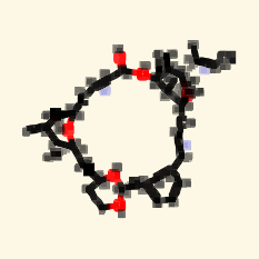 C=C1C[C@@H]2C[C@@H]3CCO[C@@H](O3)c3cccc(c3)/C=C/C[C@H]3O[C@@H](/C(C)=C/C#N)[C@H](C)[C@@H](OC(=O)/C=C\C[C@@H](C1)O2)[C@H]3C